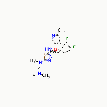 COc1ccc(Cl)c(F)c1-c1cc(C)ncc1C(=O)Nc1nnc(N(C)CCN(C)C(C)=O)s1